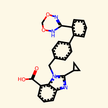 O=C(O)c1cccc2nc(C3CC3)n(Cc3ccc(-c4ccccc4C4=NOCON4)cc3)c12